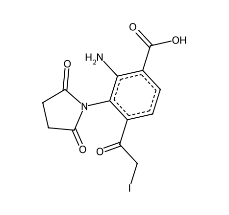 Nc1c(C(=O)O)ccc(C(=O)CI)c1N1C(=O)CCC1=O